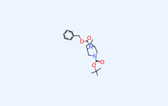 CC1CC2CN(C(=O)OC(C)(C)C)CC1N2C(=O)OCc1ccccc1